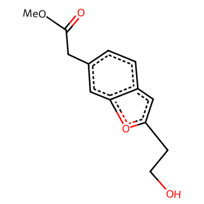 COC(=O)Cc1ccc2cc(CCO)oc2c1